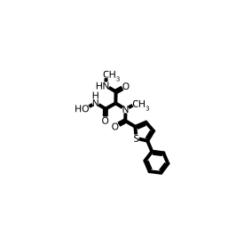 CNC(=O)C(C(=O)NO)N(C)C(=O)c1ccc(-c2ccccc2)s1